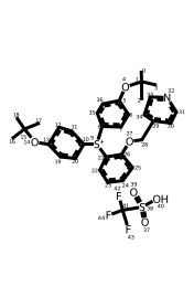 CC(C)(C)Oc1ccc([S+](c2ccc(OC(C)(C)C)cc2)c2ccccc2OCc2ccncc2)cc1.O=S(=O)(O)C(F)(F)F